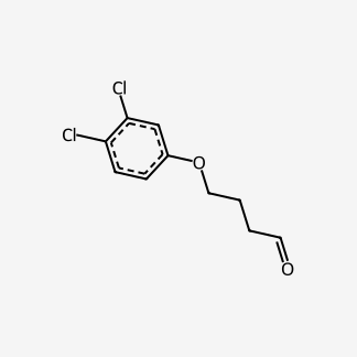 O=CCCCOc1ccc(Cl)c(Cl)c1